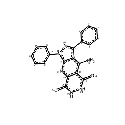 Nc1c2c(-c3ccccc3)nn(-c3ccccc3)c2nc2c(=O)[nH][nH]c(=O)c12